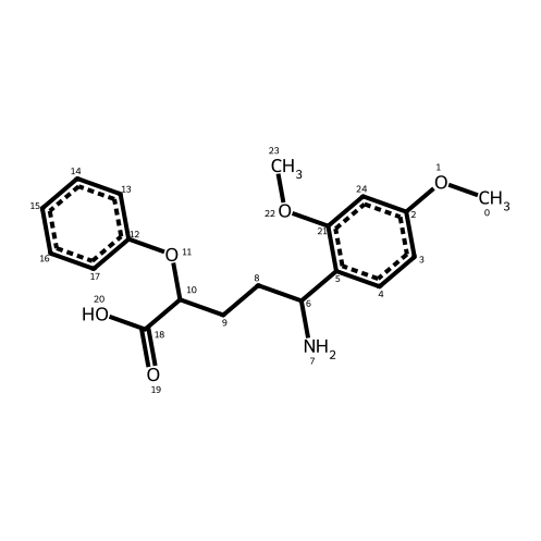 COc1ccc(C(N)CCC(Oc2ccccc2)C(=O)O)c(OC)c1